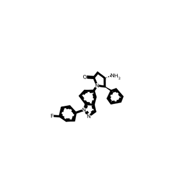 N[C@H]1CC(=O)N(c2ccc3c(cnn3-c3ccc(F)cc3)c2)[C@@H]1c1ccccc1